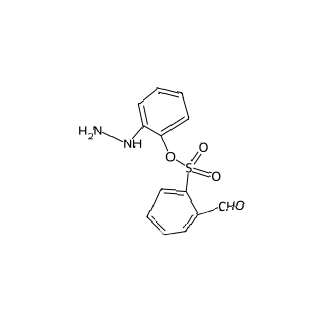 NNc1ccccc1OS(=O)(=O)c1ccccc1C=O